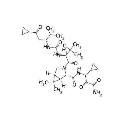 CC(C)[C@@H](CC(=O)C1CC1)NC(=O)N[C@H](C(=O)N1C[C@H]2[C@@H]([C@H]1C(=O)NC(C(=O)C(N)=O)C1CC1)C2(C)C)C(C)(C)C